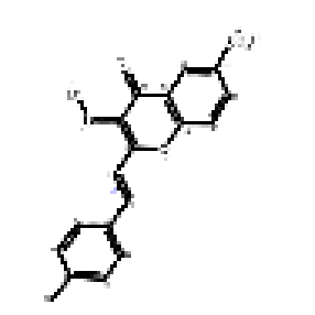 CCOc1c(/C=C/c2ccc(C)cc2)oc2ccc(C(=O)O)cc2c1=O